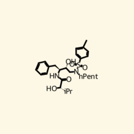 CCCCCN(C[C@@H](O)[C@H](Cc1ccccc1)NC(=O)[C@@H](O)C(C)C)S(=O)(=O)c1ccc(C)cc1